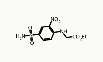 CCOC(=O)CNc1ccc(S(N)(=O)=O)cc1[N+](=O)[O-]